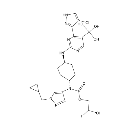 O=C(OCC(O)F)N(c1cnn(CC2CC2)c1)[C@H]1CC[C@H](Nc2ncc(C(O)(O)O)c(-c3n[nH]cc3Cl)n2)CC1